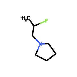 [CH2]C(F)CN1CCCC1